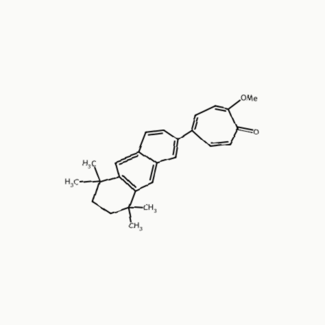 COc1ccc(-c2ccc3cc4c(cc3c2)C(C)(C)CCC4(C)C)ccc1=O